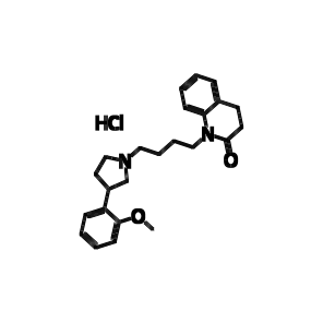 COc1ccccc1C1CCN(CCCCN2C(=O)CCc3ccccc32)C1.Cl